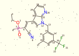 CCOP(C)(=O)/C(C#N)=C/c1cn(Cc2cc(C)cc(C(F)(F)F)c2)c2ncccc12